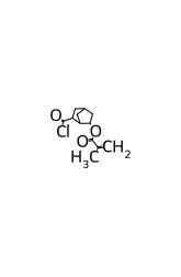 C=C(C)C(=O)OC1CC2CC(C(=O)Cl)C1C2